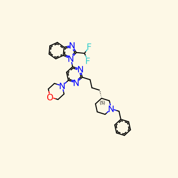 FC(F)c1nc2ccccc2n1-c1cc(N2CCOCC2)nc(CCC[C@H]2CCCN(Cc3ccccc3)C2)n1